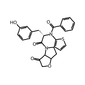 O=C1COC2CCN(C(=O)[C@H](Cc3cccc(O)c3)N(C(=O)c3ccccc3)c3cccs3)C12